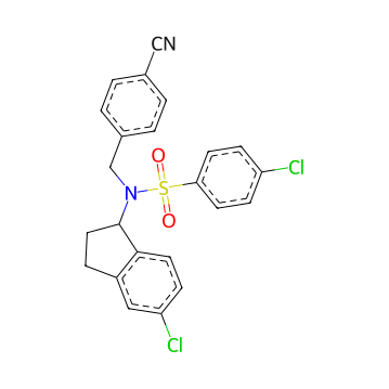 N#Cc1ccc(CN(C2CCc3cc(Cl)ccc32)S(=O)(=O)c2ccc(Cl)cc2)cc1